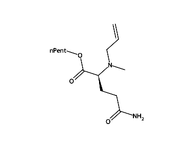 C=CCN(C)[C@@H](CCC(N)=O)C(=O)OCCCCC